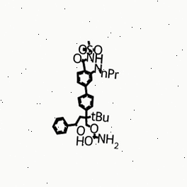 CCCNc1cc(-c2ccc(C(COC(N)=O)(C[C@@H](O)c3ccccc3)C(C)(C)C)cc2)ccc1C(=O)NS(C)(=O)=O